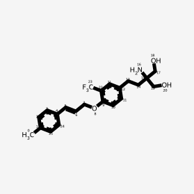 Cc1ccc(/C=C/COc2ccc(CCC(N)(CO)CO)cc2C(F)(F)F)cc1